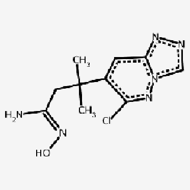 CC(C)(CC(N)=NO)c1cc2nncn2nc1Cl